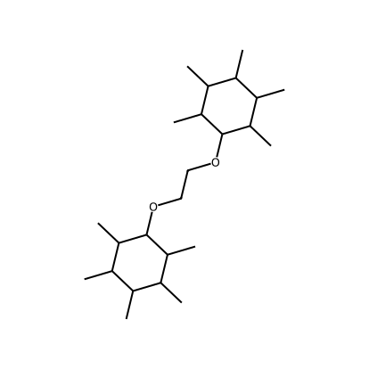 CC1C(C)C(C)C(OCCOC2C(C)C(C)C(C)C(C)C2C)C(C)C1C